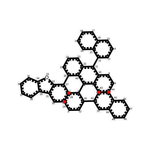 c1ccc(-c2c3ccccc3c(-c3cccc4ccccc34)c3cccc(-c4cccc5c4oc4ccccc45)c23)c(-c2ccc3ccccc3c2)c1